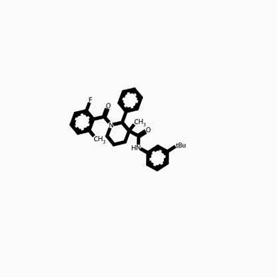 Cc1cccc(F)c1C(=O)N1CCCC(C)(C(=O)Nc2cccc(C(C)(C)C)c2)C1c1ccccc1